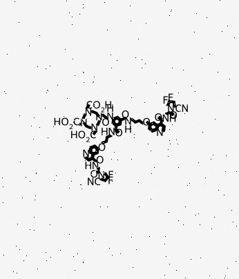 N#C[C@@H]1CC(F)(F)CN1C(=O)CNC(=O)c1ccnc2ccc(OCCCCNC(=O)c3cc(NC(=O)CN4CCN(CC(=O)O)CCN(CC(=O)O)CCN(CC(=O)O)CC4)cc(C(=O)NCCCCOc4ccc5nccc(C(=O)NCC(=O)N6CC(F)(F)C[C@H]6C#N)c5c4)c3)cc12